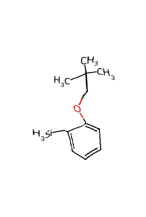 CC(C)(C)COc1ccccc1[SiH3]